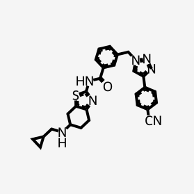 N#Cc1ccc(-c2cn(Cc3cccc(C(=O)Nc4nc5c(s4)CC(NCC4CC4)CC5)c3)nn2)cc1